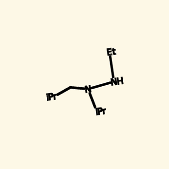 [CH2]CNN(CC(C)C)C(C)C